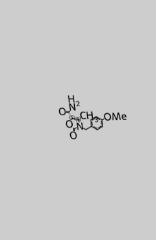 COc1ccc(CN2C(=O)O[C@H](C(N)=O)[C@@H]2C)cc1